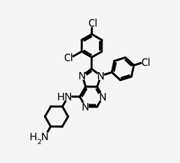 NC1CCC(Nc2ncnc3c2nc(-c2ccc(Cl)cc2Cl)n3-c2ccc(Cl)cc2)CC1